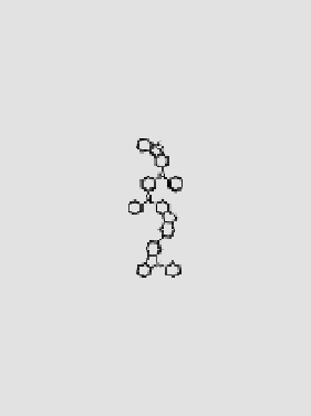 c1ccc(N(c2cccc(N(c3ccccc3)c3ccc4sc5ccc(-c6ccc7c8ccccc8n(-c8ccccc8)c7c6)cc5c4c3)c2)c2ccc3sc4ccccc4c3c2)cc1